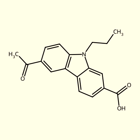 CCCn1c2ccc(C(C)=O)cc2c2ccc(C(=O)O)cc21